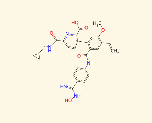 C=Cc1cc(C(=O)Nc2ccc(C(=N)NO)cc2)c(-c2ccc(C(=O)NCC3CC3)nc2C(=O)O)cc1OC